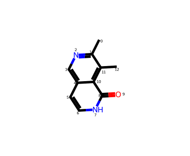 Cc1ncc2cc[nH]c(=O)c2c1C